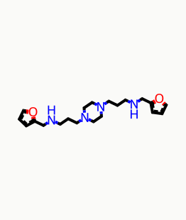 c1coc(CNCCCN2CCN(CCCNCc3ccco3)CC2)c1